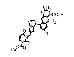 Cc1cc(Cl)cc(-c2ncnn3cc(Cn4c(=O)ccn(C(=O)OC(C)(C)C)c4=O)cc23)c1CC1CN(C(=O)O)C[C@H](C)O1